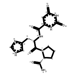 NC(=O)[C@H]1CCCN1C(=O)[C@H](Cc1c[nH]cn1)NC(=O)c1cc(=O)[nH]c(=O)[nH]1